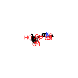 C=C[C@]1(C)C[C@@H](OC(=O)COc2ccc3c(c2)B(O)N(C(=O)OC(C)(C)C)N=C3)[C@]2(C)[C@H](C)CC[C@]3(C[C@H](O)C(=O)[C@H]32)[C@@H](C)[C@@H]1O